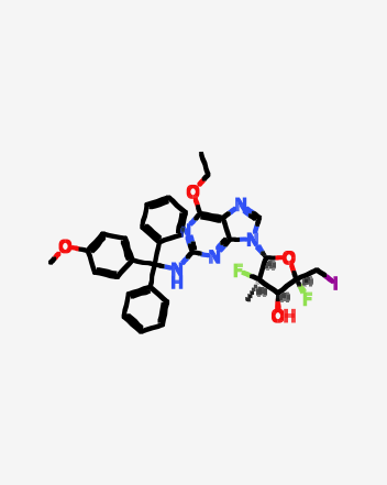 CCOc1nc(NC(c2ccccc2)(c2ccccc2)c2ccc(OC)cc2)nc2c1ncn2[C@H]1O[C@](F)(CI)[C@@H](O)[C@@]1(C)F